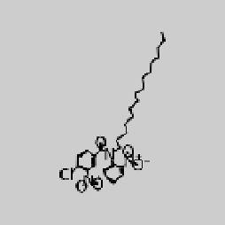 CCCCCCCCCCCCCCCCN(C(=O)c1ccc(Cl)c([N+](=O)[O-])c1)c1ccccc1[N+](=O)[O-]